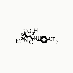 CCc1nc(CC(=O)NCc2ccc(C(F)(F)F)cc2)c(C(=O)O)s1